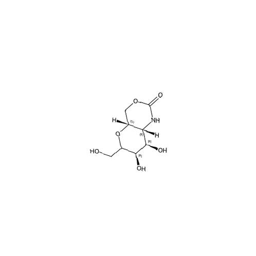 O=C1N[C@@H]2[C@@H](O)[C@@H](O)C(CO)O[C@@H]2CO1